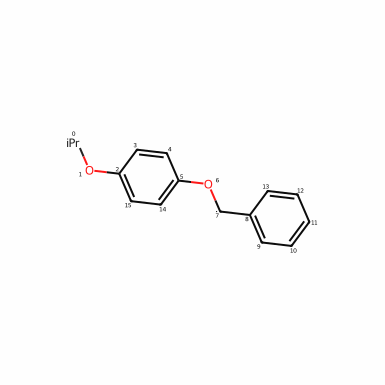 CC(C)Oc1ccc(O[CH]c2ccccc2)cc1